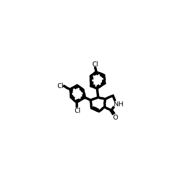 O=C1NCC2C1C=CC(c1ccc(Cl)cc1Cl)C2c1ccc(Cl)cc1